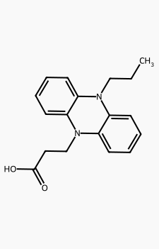 CCCN1c2ccccc2N(CCC(=O)O)c2ccccc21